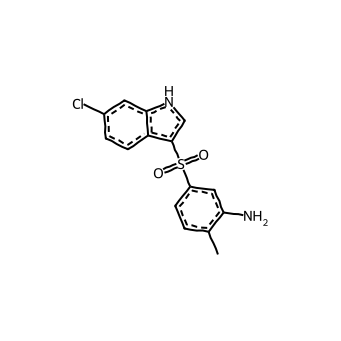 Cc1ccc(S(=O)(=O)c2c[nH]c3cc(Cl)ccc23)cc1N